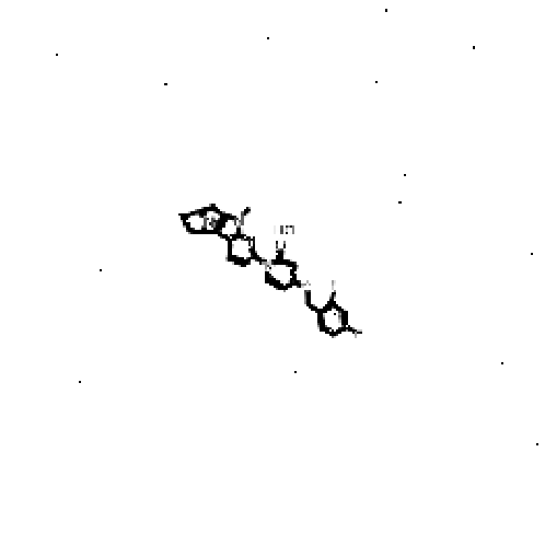 Cl.Cn1c2c(c3ccc(-n4ccc(OCc5ccc(F)cc5F)cc4=O)nc31)C1CCC(C2)N1